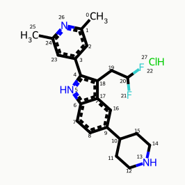 Cc1cc(-c2[nH]c3ccc(C4CCNCC4)cc3c2CC(F)F)cc(C)n1.Cl